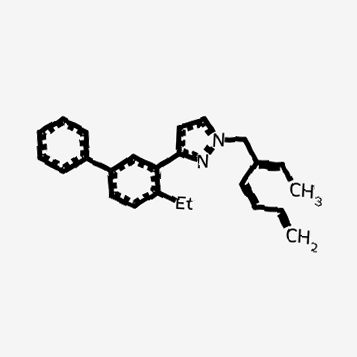 C=C/C=C\C(=C/C)Cn1ccc(-c2cc(-c3ccccc3)ccc2CC)n1